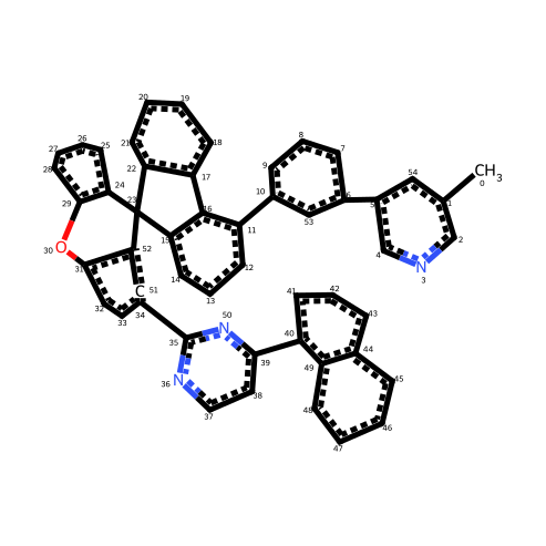 Cc1cncc(-c2cccc(-c3cccc4c3-c3ccccc3C43c4ccccc4Oc4ccc(-c5nccc(-c6cccc7ccccc67)n5)cc43)c2)c1